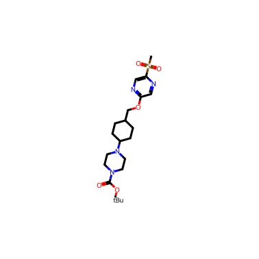 CC(C)(C)OC(=O)N1CCN(C2CCC(COc3cnc(S(C)(=O)=O)cn3)CC2)CC1